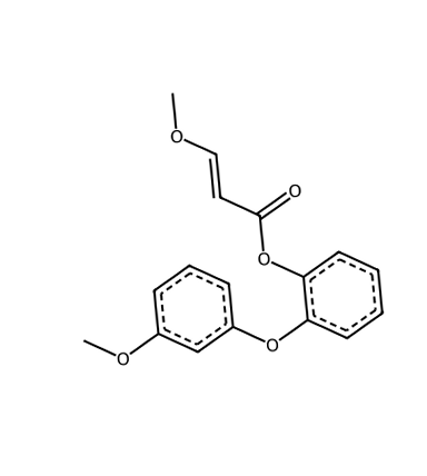 COC=CC(=O)Oc1ccccc1Oc1cccc(OC)c1